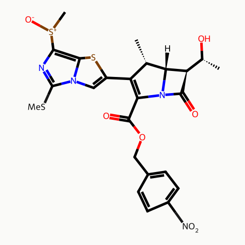 CSc1nc([S+](C)[O-])c2sc(C3=C(C(=O)OCc4ccc([N+](=O)[O-])cc4)N4C(=O)[C@H]([C@@H](C)O)[C@H]4[C@H]3C)cn12